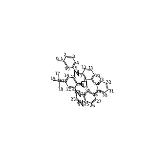 Cc1cccc(N(c2ccccc2)c2cc(C(C)(C)C)cc(-n3cnc4ccc(-c5ccccc5)cc43)c2Cl)c1